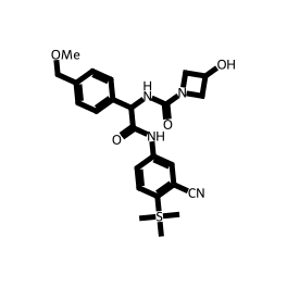 COCc1ccc(C(NC(=O)N2CC(O)C2)C(=O)Nc2ccc(S(C)(C)C)c(C#N)c2)cc1